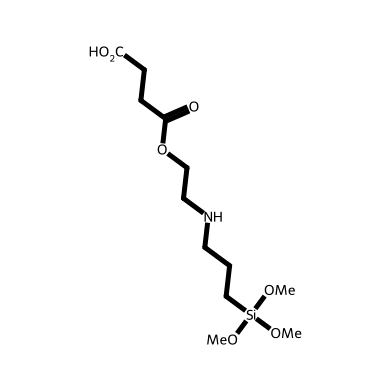 CO[Si](CCCNCCOC(=O)CCC(=O)O)(OC)OC